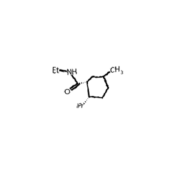 CCNC(=O)[C@@H]1CC(C)CC[C@@H]1C(C)C